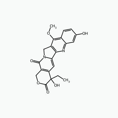 CCC1(O)C(=O)OCc2c1cc1n(c2=O)Cc2c-1nc1cc(O)ccc1c2OC